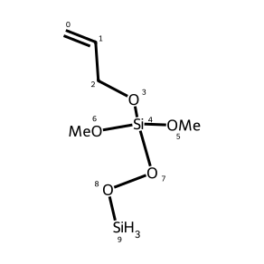 C=CCO[Si](OC)(OC)OO[SiH3]